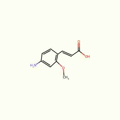 COc1cc(N)ccc1C=CC(=O)O